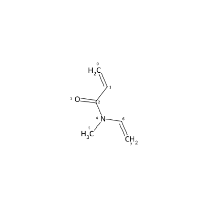 C=CC(=O)N(C)C=C